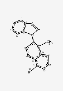 Cc1c(C2C=Cc3ccccc32)ccc2c(Br)cccc12